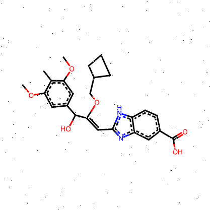 COc1cc(C(O)/C(=C/c2nc3cc(C(=O)O)ccc3[nH]2)OCC2CCC2)cc(OC)c1C